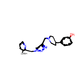 COc1cccnc1Cn1cc(CN2CCC(c3cccc(O)c3)CC2)nn1